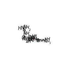 N=C(N)N1CC(NCc2cc([C@@H]3CC4(CC4)[C@@H]4CN3C(=O)N4OS(=O)(=O)ON3C(=O)N4C[C@H]3C3(CC3)C[C@H]4c3cc(CNC4CN(C(=N)N)C4)on3)no2)C1